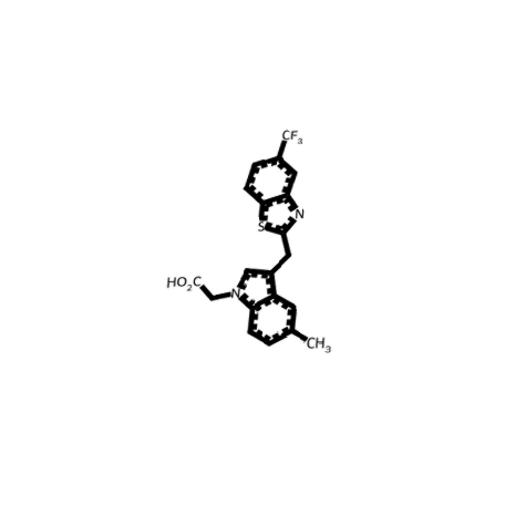 Cc1ccc2c(c1)c(Cc1nc3cc(C(F)(F)F)ccc3s1)cn2CC(=O)O